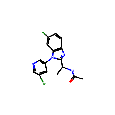 CC(=O)NC(C)c1nc2ccc(F)cc2n1-c1cncc(Br)c1